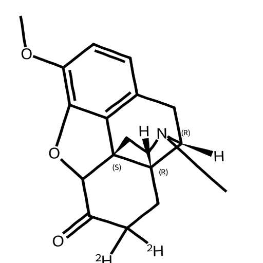 [2H]C1([2H])C[C@H]2[C@H]3Cc4ccc(OC)c5c4[C@@]2(CCN3C)C(O5)C1=O